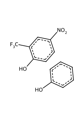 O=[N+]([O-])c1ccc(O)c(C(F)(F)F)c1.Oc1ccccc1